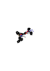 CCC(/N=C(\C=C(/N)c1ccccc1)c1ccccc1)c1ccc(-c2ccc3c(c2)N(C)C(c2ccc4c5ccccc5c5ccccc5c4c2)C2Sc4ccccc4C32C)cc1